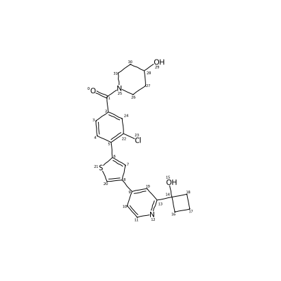 O=C(c1ccc(-c2cc(-c3ccnc(C4(O)CCC4)c3)cs2)c(Cl)c1)N1CCC(O)CC1